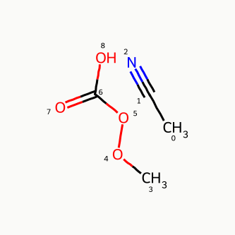 CC#N.COOC(=O)O